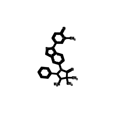 Cn1cc(-n2ncc3cc(N4C(=O)C(C)(C)C(N)C4c4ccccc4)ccc32)ccc1=O